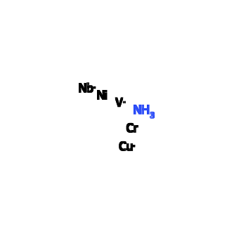 N.[Cr].[Cu].[Nb].[Ni].[V]